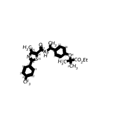 CCOC(=O)C(C)(C)Oc1ccc(C(C)[AsH]C(=O)c2sc(-c3ccc(C(F)(F)F)cc3)nc2C)cc1